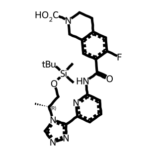 C[C@H](CO[Si](C)(C)C(C)(C)C)n1cnnc1-c1cccc(NC(=O)c2cc3c(cc2F)CCN(C(=O)O)C3)n1